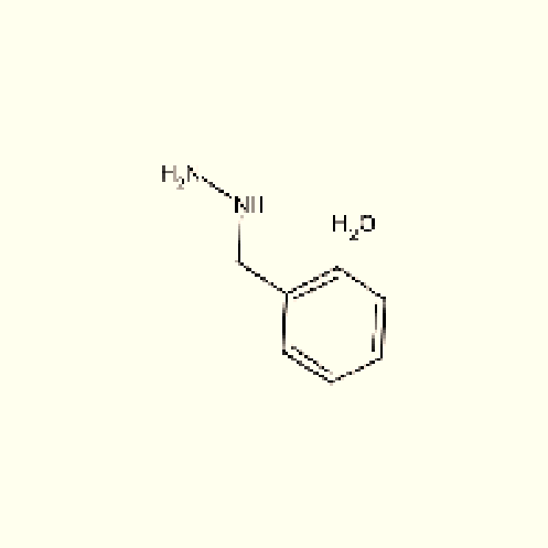 NNCc1ccccc1.O